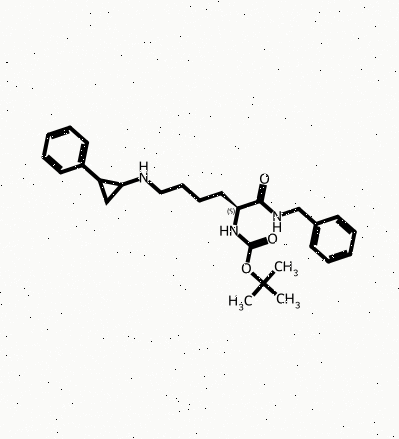 CC(C)(C)OC(=O)N[C@@H](CCCCNC1CC1c1ccccc1)C(=O)NCc1ccccc1